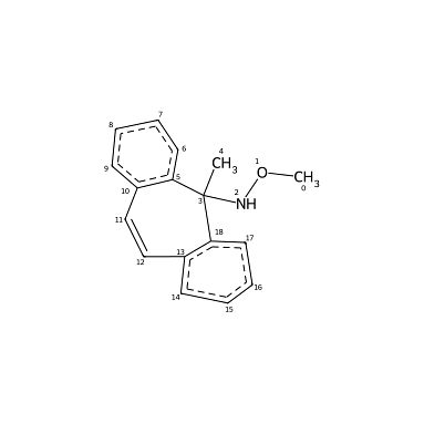 CONC1(C)c2ccccc2C=Cc2ccccc21